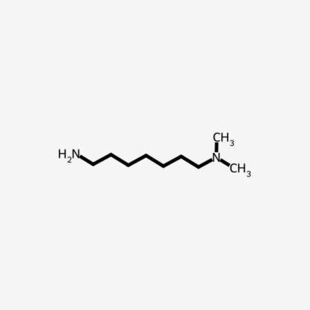 CN(C)CCCCCCCN